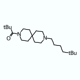 CC(C)(C)CCCCN1CCC2(CC1)CCN(C(=O)C(C)(C)C)CC2